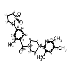 Cc1cc(C)c(N2CCN(C(=O)c3ccc(N4CCCS4(=O)=O)cc3C#N)CC2)nc1C